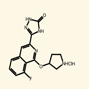 Cl.O=c1[nH]nc(-c2cc3cccc(F)c3c(OC3CCNC3)n2)[nH]1